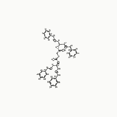 O=C(CCC(=O)OC(COCc1ccccc1)COCc1ccccc1)OC(COCc1ccccc1)COCc1ccccc1